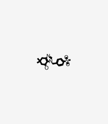 CC1(C)CC(=O)c2c(ncn2Cc2ccc(S(C)(=O)=O)cc2)C1